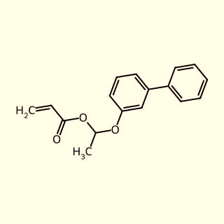 C=CC(=O)OC(C)Oc1cccc(-c2ccccc2)c1